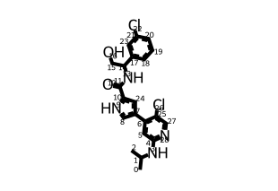 CC(C)Nc1cc(-c2c[nH]c(C(=O)NC(CO)c3cccc(Cl)c3)c2)c(Cl)cn1